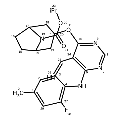 Cc1ccc(Nc2ncnc(OC3CC4CCC(C3)N4C(=O)OC(C)C)c2C=N)c(F)c1